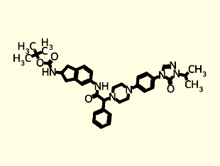 CC(C)n1ncn(-c2ccc(N3CCN(C(C(=O)Nc4ccc5c(c4)CC(NC(=O)OC(C)(C)C)C5)c4ccccc4)CC3)cc2)c1=O